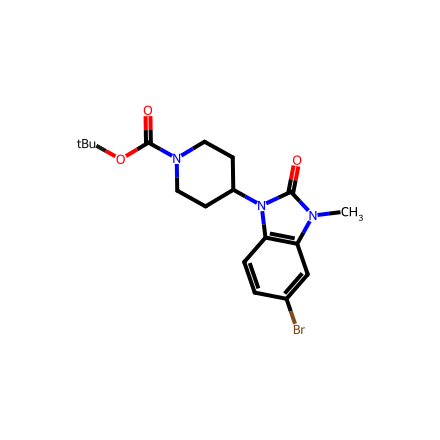 Cn1c(=O)n(C2CCN(C(=O)OC(C)(C)C)CC2)c2ccc(Br)cc21